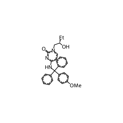 CC[C@@H](O)Cn1ccc(NC(c2ccccc2)(c2ccccc2)c2ccc(OC)cc2)nc1=O